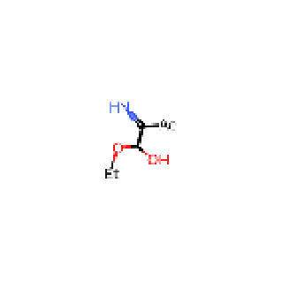 CCOC(O)C(=N)C(C)=O